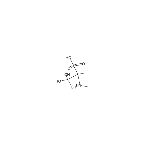 CNC(C)(C(O)(O)O)S(=O)(=O)O